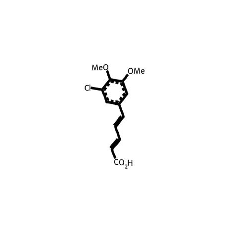 COc1cc(C=CC=CC(=O)O)cc(Cl)c1OC